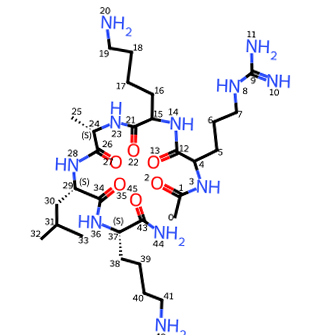 CC(=O)NC(CCCNC(=N)N)C(=O)NC(CCCCN)C(=O)N[C@@H](C)C(=O)N[C@@H](CC(C)C)C(=O)N[C@@H](CCCCN)C(N)=O